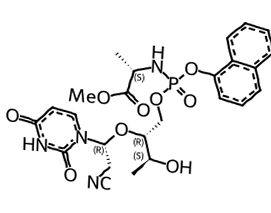 COC(=O)[C@H](C)NP(=O)(OC[C@@H](O[C@H](CC#N)n1ccc(=O)[nH]c1=O)[C@H](C)O)Oc1cccc2ccccc12